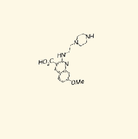 COc1ccc2cc(C(=O)O)c(NCCN3CCNCC3)nc2c1